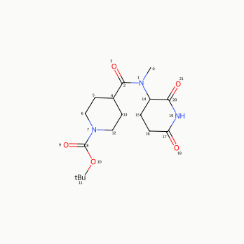 CN(C(=O)C1CCN(C(=O)OC(C)(C)C)CC1)C1CCC(=O)NC1=O